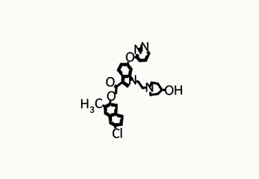 Cc1cc2cc(Cl)ccc2cc1OCC(=O)c1cn(CCN2CCC(O)CC2)c2cc(Oc3cccnn3)ccc12